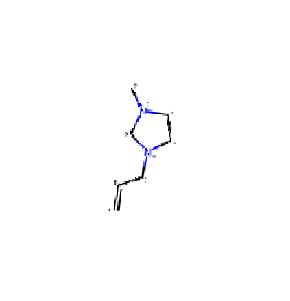 C=CCN1CCN(C)C1